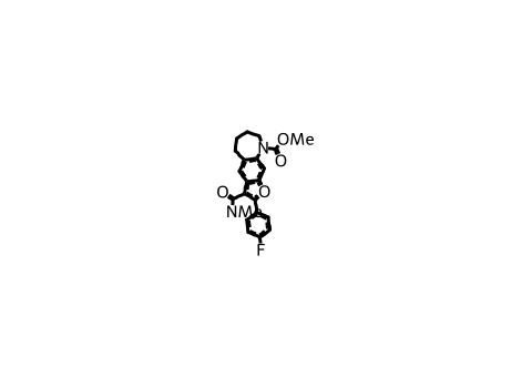 CNC(=O)c1c(-c2ccc(F)cc2)oc2cc3c(cc12)CCCCN3C(=O)OC